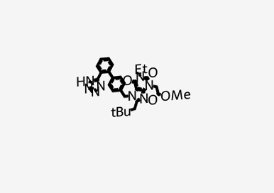 CCn1c(=O)c2c(nc(CC(C)(C)C)n2Cc2ccc(-c3ccccc3-c3nnn[nH]3)cc2)n(CC(=O)OC)c1=O